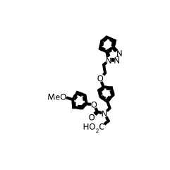 COc1ccc(OC(=O)N(CC(=O)O)Cc2ccc(OCCn3nnc4ccccc43)cc2)cc1